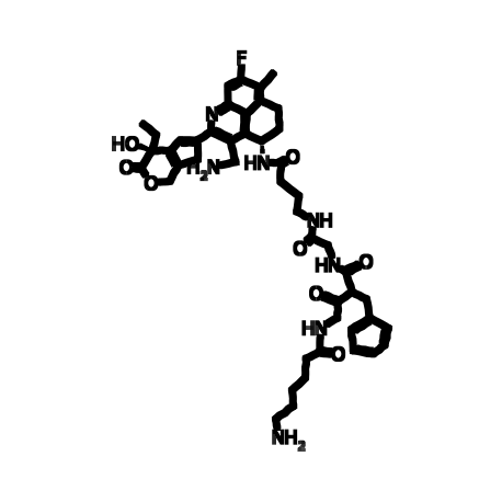 CC[C@@]1(O)C(=O)OCC2=C1C=C(c1nc3cc(F)c(C)c4c3c(c1CN)[C@@H](NC(=O)CCCNC(=O)CNC(=O)C(Cc1ccccc1)C(=O)CNC(=O)CCCCCN)CC4)C2